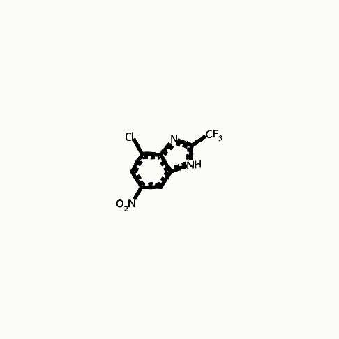 O=[N+]([O-])c1cc(Cl)c2nc(C(F)(F)F)[nH]c2c1